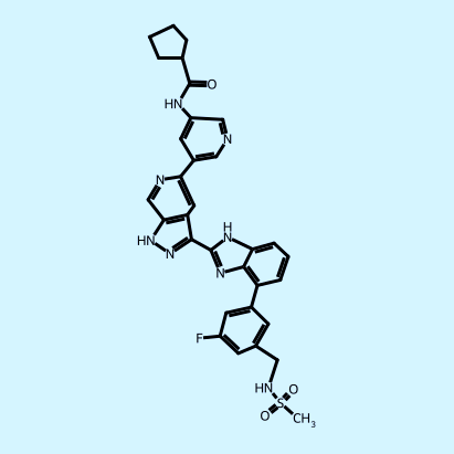 CS(=O)(=O)NCc1cc(F)cc(-c2cccc3[nH]c(-c4n[nH]c5cnc(-c6cncc(NC(=O)C7CCCC7)c6)cc45)nc23)c1